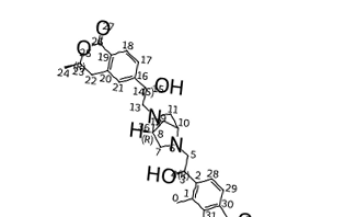 Cc1c([C@@H](O)CN2C[C@H]3CC2CN3C[C@@H](O)c2ccc3c(c2)C[C@@H](C)OC3=O)ccc2c1COC2=O